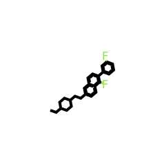 CCC1CCC(CCc2ccc3c(F)c(-c4cccc(F)c4)ccc3c2)CC1